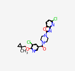 CC1(COc2ncc(C(=O)N3CCN(c4nc5nc(Cl)ccc5o4)CC3)cc2Cl)CC1